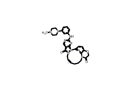 CN1CCN(c2cccc(Nc3ncc4c(=O)n5n(c4n3)-c3ccc4c(n3)N(CCC/C=C\C5)C(=O)CO4)c2)CC1